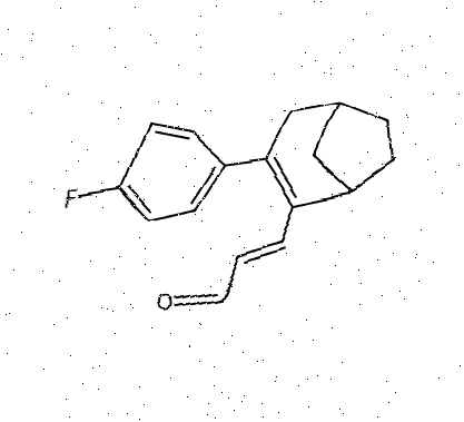 O=CC=CC1=C(c2ccc(F)cc2)CC2CCC1C2